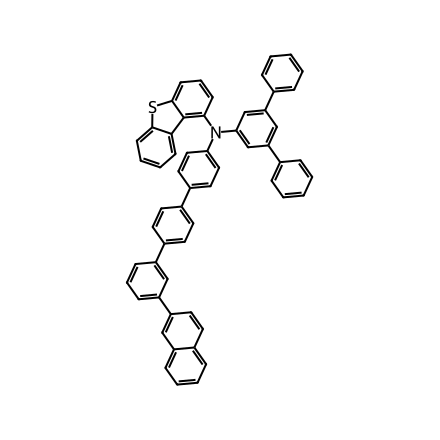 c1ccc(-c2cc(-c3ccccc3)cc(N(c3ccc(-c4ccc(-c5cccc(-c6ccc7ccccc7c6)c5)cc4)cc3)c3cccc4sc5ccccc5c34)c2)cc1